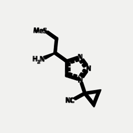 CSC[C@H](N)c1cn(C2(C#N)CC2)nn1